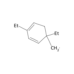 [CH2]C1(CC)C=CC(CC)=CC1